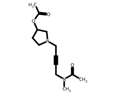 CC(=O)OC1CCN(CC#CCN(C)C(C)=O)C1